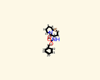 O=C(N[C@H]1CCSC2CCCCN2C1=O)OCc1ccccc1